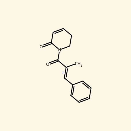 C/C(=C\c1ccccc1)C(=O)N1CCC=CC1=O